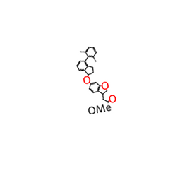 COC(=O)CC1COc2cc(O[C@@H]3CCc4c(-c5c(C)cccc5C)cccc43)ccc21